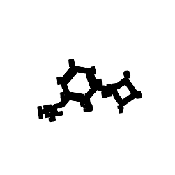 Cc1cccc(N2CCC2)n1